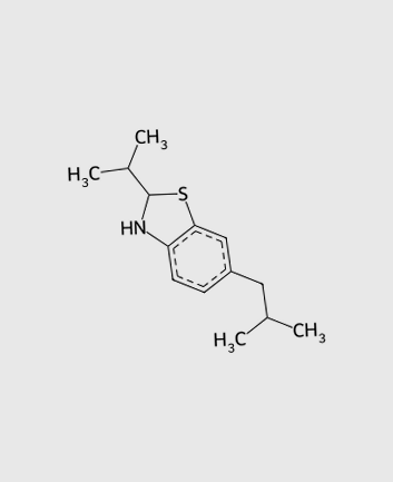 CC(C)Cc1ccc2c(c1)SC(C(C)C)N2